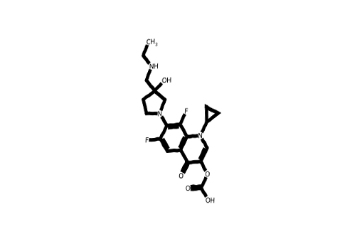 CCNCC1(O)CCN(c2c(F)cc3c(=O)c(OC(=O)O)cn(C4CC4)c3c2F)C1